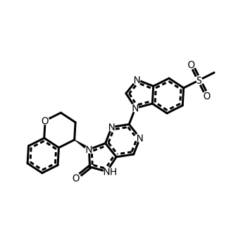 CS(=O)(=O)c1ccc2c(c1)ncn2-c1ncc2[nH]c(=O)n([C@@H]3CCOc4ccccc43)c2n1